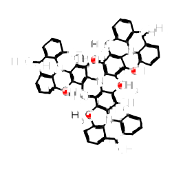 CCc1cccc(C)c1N(c1c(C)cccc1C)c1c(C)c(C)c(N(c2c(C)c(C)c(N(c3c(C)cccc3C)c3c(C)cccc3CC)c(C)c2C)c2c(C)c(C)c(N(c3c(C)cccc3C)c3c(C)cccc3CC)c(C)c2C)c(C)c1C